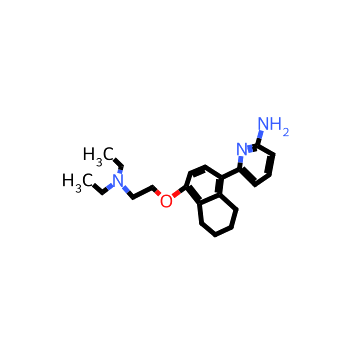 CCN(CC)CCOc1ccc(-c2cccc(N)n2)c2c1CCCC2